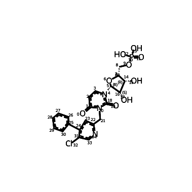 O=c1ccn([C@@H]2O[C@H](COP(=O)(O)O)[C@H](O)[C@@H]2O)c(=O)n1Cc1cc(-c2ccccc2)c(Cl)cn1